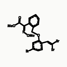 CO/N=C(/C(=O)OC)c1ccccc1COc1cc(Br)ccc1C=C(Br)Br